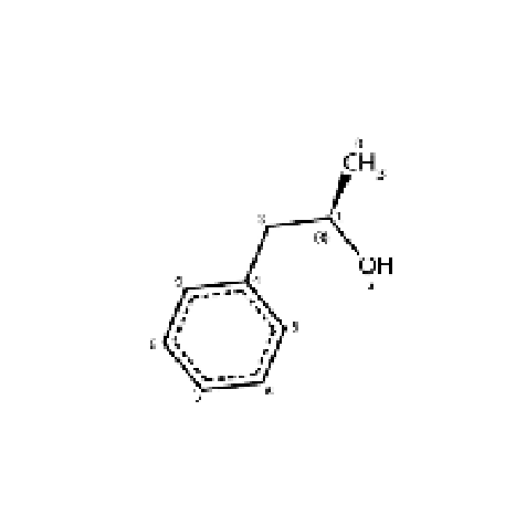 C[C@@H](O)Cc1cc[c]cc1